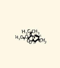 CCOC(=O)C(C(C)C)n1ccc(C)cc1=O